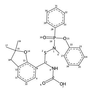 CN(SC(NC(=O)O)c1cccc2c1OC(C)(C)C2)P(=O)(Oc1ccccc1)c1ccccc1